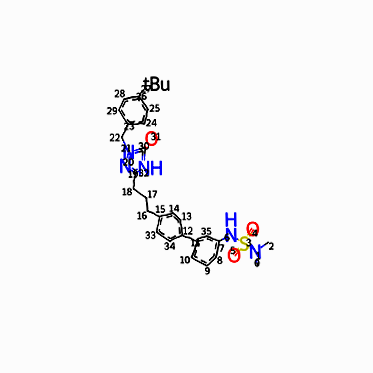 CN(C)S(=O)(=O)Nc1cccc(-c2ccc(CCCc3nn(Cc4ccc(C(C)(C)C)cc4)c(=O)[nH]3)cc2)c1